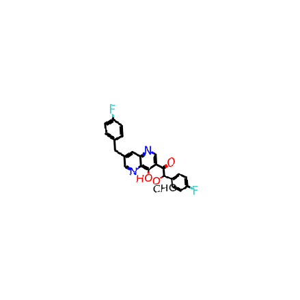 O=COC(C(=O)c1cnc2cc(Cc3ccc(F)cc3)cnc2c1O)c1ccc(F)cc1